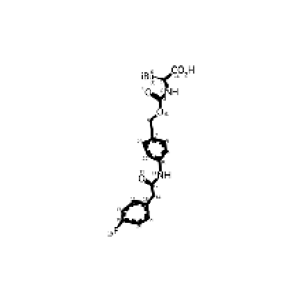 CC[C@H](C)C(NC(=O)OCc1ccc(NC(=O)Cc2ccc(F)cc2)cc1)C(=O)O